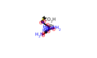 CC(C)[C@H](NC(=O)CCCCCN1C(=O)CC(SCC2(CC(=O)O)CC2)C1=O)C(=O)N[C@@H](CCCNC(N)=O)C(=O)Nc1ccc(COC(N)=O)cc1